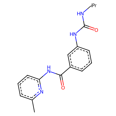 Cc1cccc(NC(=O)c2cccc(NC(=O)NC(C)C)c2)n1